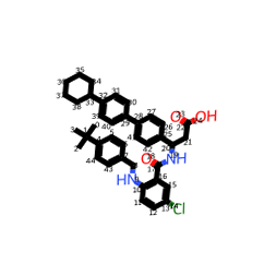 CC(C)(C)c1ccc(CNc2ccc(Cl)cc2C(=O)NC(CC(=O)O)c2ccc(-c3ccc(C4CCCCC4)cc3)cc2)cc1